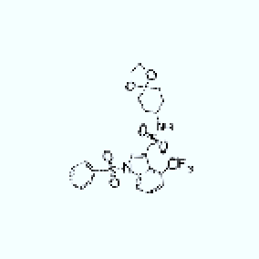 O=S(=O)(NC1CCC2(CC1)OCCO2)c1cn(S(=O)(=O)c2ccccc2)c2cccc(C(F)(F)F)c12